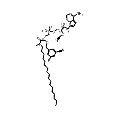 CCCCCCCCCCCCCCCCCCN(C)C(=O)[C@H](CCP(=O)(O)OC[C@@H](OC#N)[C@@H](O)[C@@H](C)c1ccc2c(N)ncnn12)OCc1cc(F)cc(C#N)c1